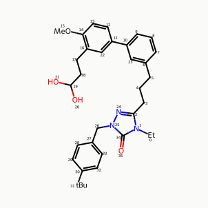 CCn1c(CCCc2cccc(-c3ccc(OC)c(CCC(O)O)c3)c2)nn(Cc2ccc(C(C)(C)C)cc2)c1=O